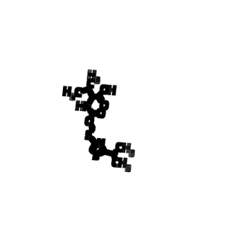 CC(C)c1nc(SCOC(=O)NC(C(=O)O)C(C)C)cs1